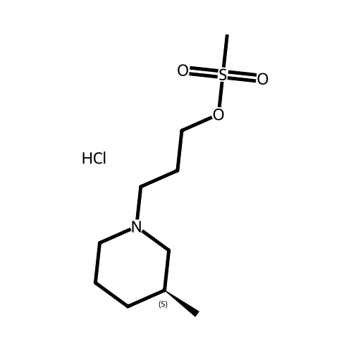 C[C@H]1CCCN(CCCOS(C)(=O)=O)C1.Cl